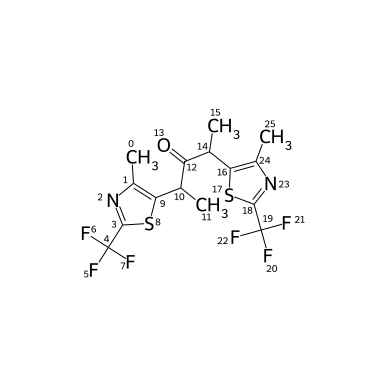 Cc1nc(C(F)(F)F)sc1C(C)C(=O)C(C)c1sc(C(F)(F)F)nc1C